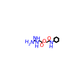 N=C(N)NCC(=O)OCC(=O)Nc1ccccc1